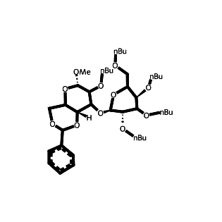 CCCCOCC1O[C@H](OC2C(OCCCC)[C@@H](OC)OC3COC(c4ccccc4)O[C@H]32)[C@@H](OCCCC)C(OCCCC)[C@@H]1OCCCC